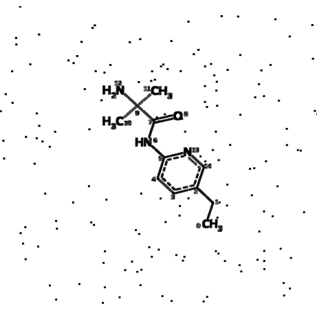 CCc1ccc(NC(=O)C(C)(C)N)nc1